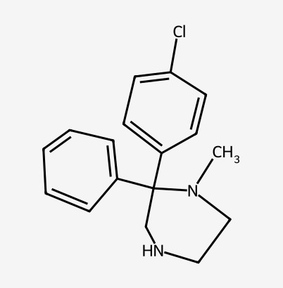 CN1CCNCC1(c1ccccc1)c1ccc(Cl)cc1